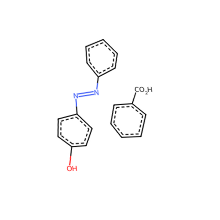 O=C(O)c1ccccc1.Oc1ccc(N=Nc2ccccc2)cc1